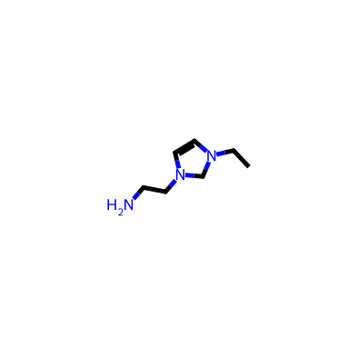 CCN1C=CN(CCN)C1